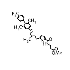 COC(=O)CCNC(=O)c1ccc(CCC(C)CSc2cc(C)c(-c3ccc(C(F)(F)F)cc3)c(C)c2)s1